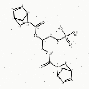 O=C(OCC(CSP(=O)(O)O)OC(=O)C1CC2C=CC1C2)C1CC2C=CC1C2